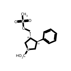 CS(=O)(=O)OC[C@H]1CN(C(=O)O)C[C@@H]1c1ccccc1